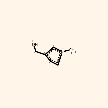 Cn1[c]c(CO)cc1